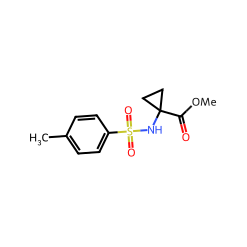 COC(=O)C1(NS(=O)(=O)c2ccc(C)cc2)CC1